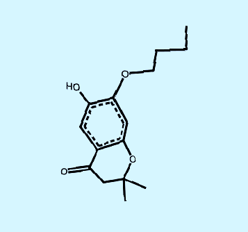 CCCCOc1cc2c(cc1O)C(=O)CC(C)(C)O2